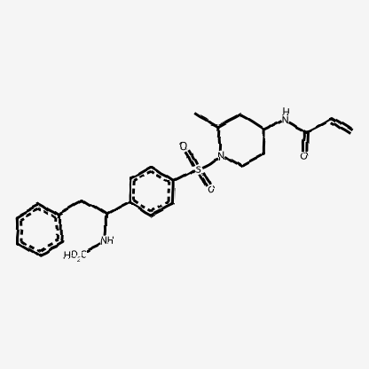 C=CC(=O)NC1CCN(S(=O)(=O)c2ccc(C(Cc3ccccc3)NC(=O)O)cc2)C(C)C1